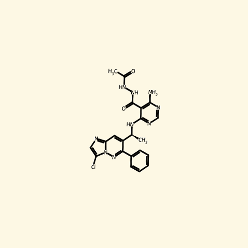 CC(=O)NNC(=O)c1c(N)ncnc1N[C@@H](C)c1cc2ncc(Cl)n2nc1-c1ccccc1